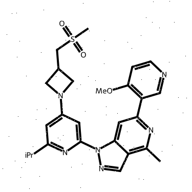 COc1ccncc1-c1cc2c(cnn2-c2cc(N3CC(CS(C)(=O)=O)C3)cc(C(C)C)n2)c(C)n1